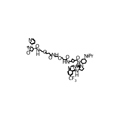 CC(C)N(C)[C@@H]1CC[C@H](N2CC[C@@H](Nc3ncnc4ccc(C(F)(F)F)cc34)C2=O)[C@H](NC(=O)C2CC(NC(=O)CCOCCNC(=O)CCOCCNC(=O)[C@H]3CC(=O)N(C)[C@@H]3c3cccnc3)C2)C1